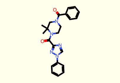 CC1(C)CN(C(=O)c2ccccc2)CCN1C(=O)c1ncn(-c2ccccc2)n1